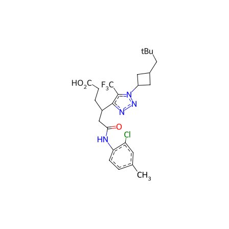 Cc1ccc(NC(=O)CC(CCC(=O)O)c2nnn(C3CC(CC(C)(C)C)C3)c2C(F)(F)F)c(Cl)c1